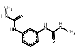 CNC(=S)Nc1cccc(NC(=S)NC)c1